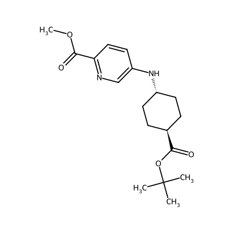 COC(=O)c1ccc(N[C@H]2CC[C@H](C(=O)OC(C)(C)C)CC2)cn1